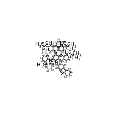 CC(C)(C)c1ccc2c(c1)B1c3cc(C(C)(C)C)ccc3N(c3ccc(C(C)(C)C)cc3-c3ccccc3)c3cc(N4c5ccccc5C5(C)CCCCC45C)cc(c31)N2c1ccc2sc3ccccc3c2c1